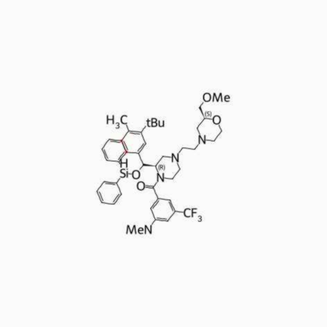 CNc1cc(C(=O)N2CCN(CCN3CCO[C@H](COC)C3)C[C@@H]2C(O[SiH](c2ccccc2)c2ccccc2)c2ccc(C)c(C(C)(C)C)c2)cc(C(F)(F)F)c1